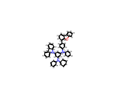 c1ccc(N(c2ccccc2)c2cc(N(c3ccccc3)c3ccc(-c4cccc5c4oc4ccccc45)cc3)cc(-n3c4ccccc4c4ccccc43)c2)cc1